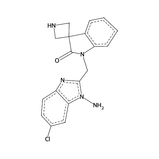 Nn1c(CN2C(=O)C3(CNC3)c3ccccc32)nc2ccc(Cl)cc21